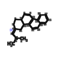 CN(C)/C=C1/CCC2C=Cc3c(ccc4ccccc34)C2C1